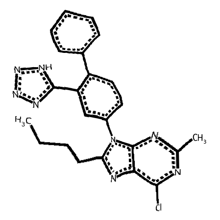 CCCCc1nc2c(Cl)nc(C)nc2n1-c1ccc(-c2ccccc2)c(-c2nnn[nH]2)c1